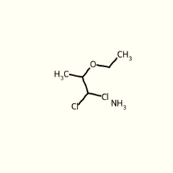 CCOC(C)C(Cl)Cl.N